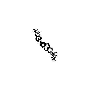 CC(C)(C)OC(=O)N1CCC2(CCc3cc(N4CCC(CS(C)(=O)=O)CC4)ccc3O2)CC1